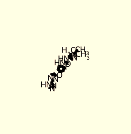 CC(C)(C)n1cc(NC(=O)Nc2ccc(Oc3ccnc(-c4nnc[nH]4)n3)cc2F)cn1